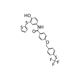 O=C(Nc1ccc(O)c(Sc2cccs2)c1)c1ccc(OCc2ccc(SC(F)(F)F)cc2)cc1